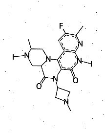 Cc1nc2c(cc1F)c1c(c(=O)n2I)N(C2CN(C)C2)C(=O)C2CN(I)C(C)CN12